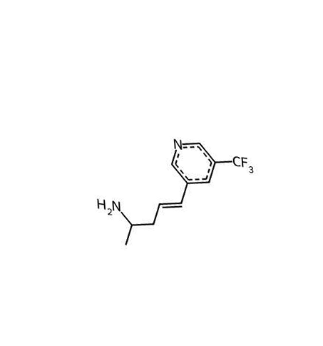 CC(N)C/C=C/c1cncc(C(F)(F)F)c1